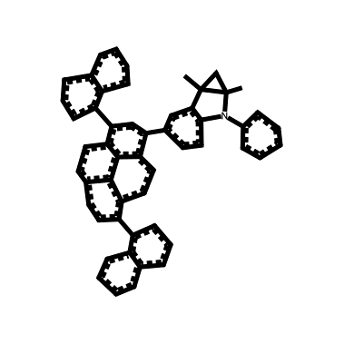 CC12CC1(C)N(c1ccccc1)c1ccc(-c3cc(-c4cccc5ccccc45)c4ccc5ccc(-c6cccc7ccccc67)c6ccc3c4c56)cc12